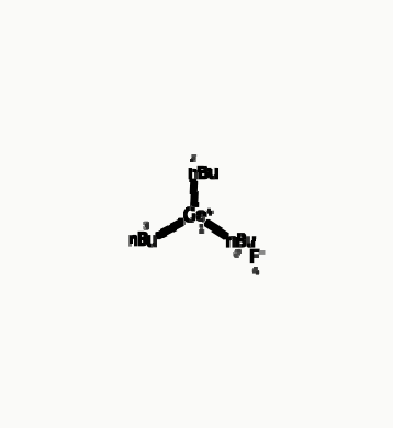 CCC[CH2][Ge+]([CH2]CCC)[CH2]CCC.[F-]